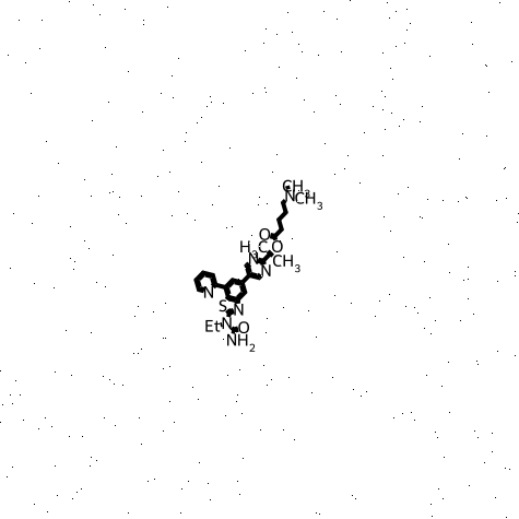 CCN(C(N)=O)c1nc2cc(-c3cnc(C(C)(C)OC(=O)CCCCN(C)C)nc3)cc(-c3ccccn3)c2s1